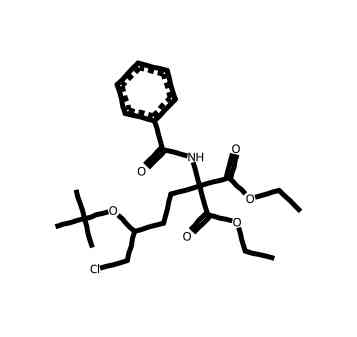 CCOC(=O)C(CCC(CCl)OC(C)(C)C)(NC(=O)c1ccccc1)C(=O)OCC